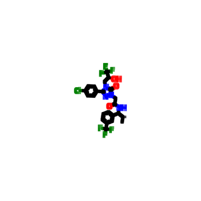 C[CH]C(NC(=O)Cn1nc(-c2ccc(Cl)cc2)n(C[C@H](O)C(F)(F)F)c1=O)c1cccc(C(F)(F)F)c1